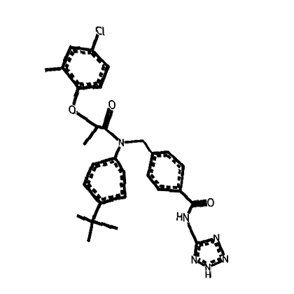 Cc1cc(Cl)ccc1OC(C)C(=O)N(Cc1ccc(C(=O)Nc2nn[nH]n2)cc1)c1ccc(C(C)(C)C)cc1